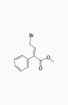 COC(=O)/C(=C/CBr)c1ccccc1